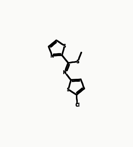 CSC(=Nc1ccc(Cl)s1)c1nccs1